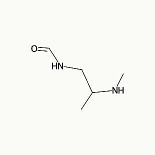 CNC(C)CNC=O